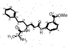 COC(=O)c1cccc(NC(=O)C=CC(CCc2ccccc2)NC(=O)[C@H](C)N)c1